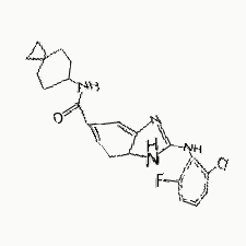 O=C(NC1CCC2(CC1)CC2)C1=CCC2NC(Nc3c(F)cccc3Cl)=NC2=C1